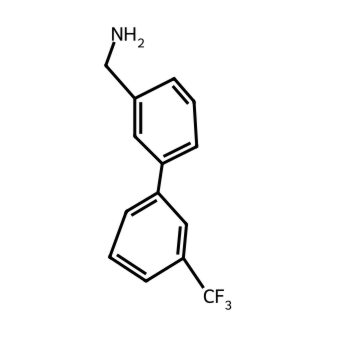 NCc1cccc(-c2cccc(C(F)(F)F)c2)c1